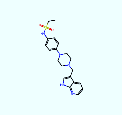 CCS(=O)(=O)Nc1ccc(N2CCN(Cc3c[nH]c4ncccc34)CC2)cc1